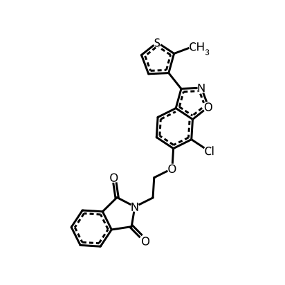 Cc1sccc1-c1noc2c(Cl)c(OCCN3C(=O)c4ccccc4C3=O)ccc12